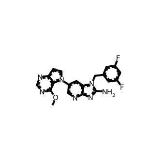 COc1ncnc2ccn(-c3cnc4nc(N)n(Cc5cc(F)cc(F)c5)c4c3)c12